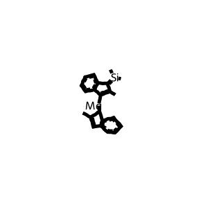 CC1=Cc2ccccc2[CH]1[Mg][C]1=C(C)C(=[Si](C)C)c2ccccc21